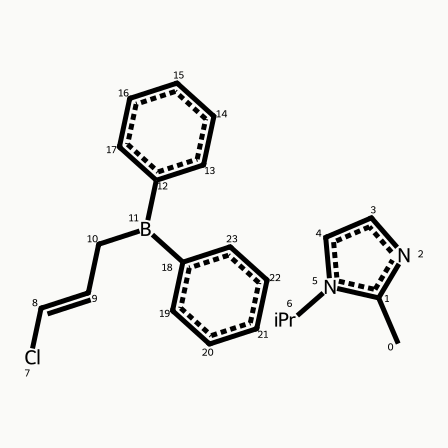 Cc1nccn1C(C)C.ClC=CCB(c1ccccc1)c1ccccc1